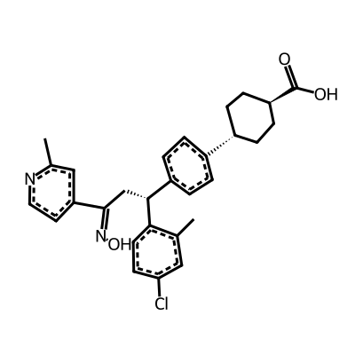 Cc1cc(/C(C[C@H](c2ccc([C@H]3CC[C@H](C(=O)O)CC3)cc2)c2ccc(Cl)cc2C)=N/O)ccn1